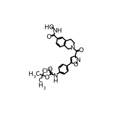 CC(C)(C)OC(=O)Nc1ccc(-c2cc(C(=O)N3CCc4cc(C(=O)NO)ccc4C3)no2)cc1